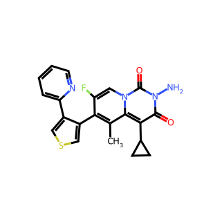 Cc1c(-c2cscc2-c2ccccn2)c(F)cn2c(=O)n(N)c(=O)c(C3CC3)c12